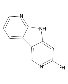 [2H]c1cc2[nH]c3ncccc3c2cn1